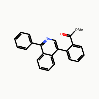 COC(=O)c1ccccc1-c1cnc(-c2ccccc2)c2ccccc12